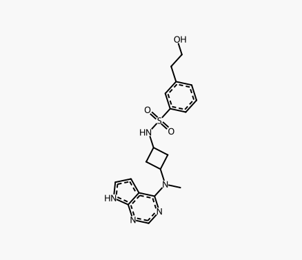 CN(c1ncnc2[nH]ccc12)C1CC(NS(=O)(=O)c2cccc(CCO)c2)C1